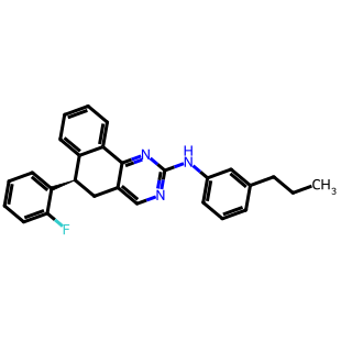 CCCc1cccc(Nc2ncc3c(n2)-c2ccccc2[C@H](c2ccccc2F)C3)c1